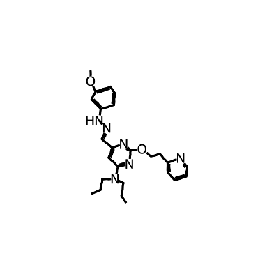 CCCN(CCC)c1cc(/C=N/Nc2cccc(OC)c2)nc(OCCc2ccccn2)n1